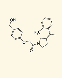 CN(c1ccccc1C(F)(F)F)[C@H]1CCN(C(=O)COc2ccc(CO)cc2)C1